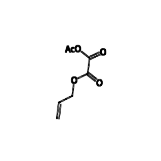 C=CCOC(=O)C(=O)OC(C)=O